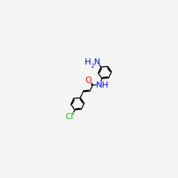 Nc1cccc(NC(=O)/C=C/c2ccc(Cl)cc2)c1